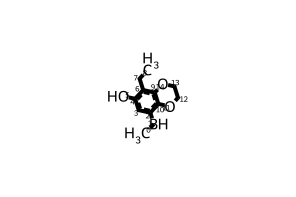 CBc1cc(O)c(CC)c2c1OCCO2